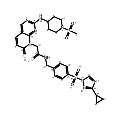 CS(=O)(=O)N1CCC(Nc2ncc3ccc(=O)n(CC(=O)NCc4ccc(S(=O)(=O)n5cnc(C6CC6)n5)cc4)c3n2)CC1